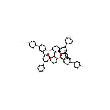 Cc1ccc(-c2ccc3c(c2)c2cc(-c4ccc(C)cc4)ccc2n3-c2cccc(C#N)c2-c2c(-c3ccc(C(F)(F)F)cc3C(F)(F)F)cccc2-n2c3ccc(-c4ccc(C)cc4)cc3c3cc(-c4ccc(C)cc4)ccc32)cc1